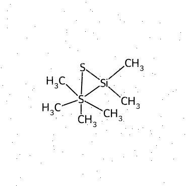 C[Si]1(C)SS1(C)(C)(C)C